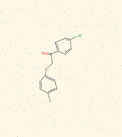 Cc1ccc(SCC(=O)c2ccc(Cl)cc2)cc1